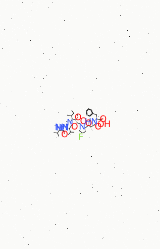 CC[C@H](C)[C@@H]([C@@H](CC(=O)N1C[C@@H](F)C[C@H]1[C@H](OC)[C@@H](C)C(=O)N[C@@H](Cc1ccccc1)C(=O)O)OC)N(C)C(=O)[C@@H](NC(=O)[C@@H](NC)C(C)C)C(C)C